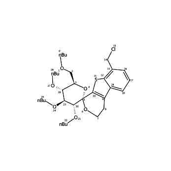 CCCCOC[C@H]1O[C@]2(OCCc3c2sc2c(CCl)cccc32)[C@H](OCCCC)[C@@H](OCCCC)[C@@H]1OCCCC